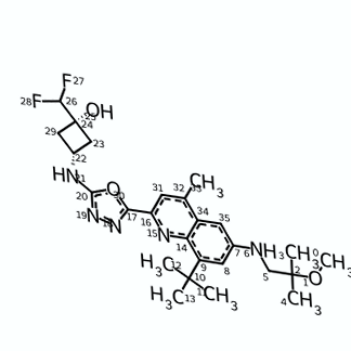 COC(C)(C)CNc1cc(C(C)(C)C)c2nc(-c3nnc(N[C@H]4C[C@](O)(C(F)F)C4)o3)cc(C)c2c1